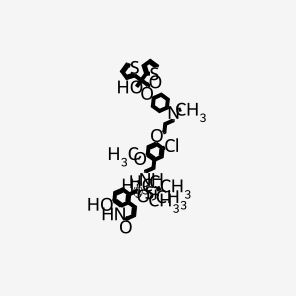 COc1cc(OCCCN(C)[C@H]2CC[C@H](OC(=O)C(O)(c3cccs3)c3cccs3)CC2)c(Cl)cc1CCNC[C@H](O[Si](C)(C)C(C)(C)C)c1ccc(O)c2[nH]c(=O)ccc12